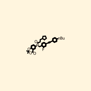 CCCCc1ccc(C#Cc2ccc(CN(C(=O)CCC3CCCC3)c3ccc4c(c3)C(=O)OC(C)(C)O4)c(F)c2)cc1